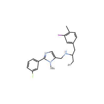 CCCCn1c(CNC(Cc2ccc(C)c(I)c2)CC(C)C)cnc1-c1cccc(F)c1